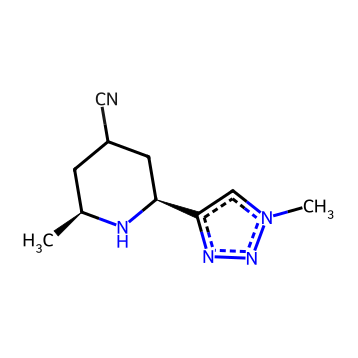 C[C@H]1CC(C#N)C[C@@H](c2cn(C)nn2)N1